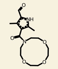 Cc1[nH]c(C=O)c(C)c1C(=O)N1CCOCCOCCOCC1